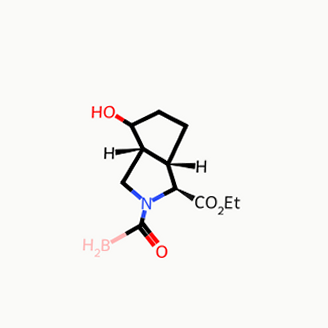 BC(=O)N1C[C@@H]2C(O)CC[C@@H]2[C@H]1C(=O)OCC